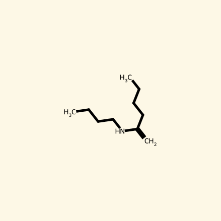 C=C(CCCC)NCCCC